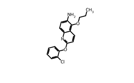 CCCOc1c(N)ccc2nc(Oc3ccccc3Cl)ccc12